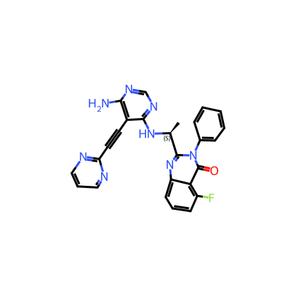 C[C@H](Nc1ncnc(N)c1C#Cc1ncccn1)c1nc2cccc(F)c2c(=O)n1-c1ccccc1